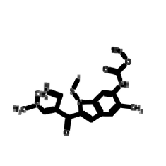 Cc1cc2cc(C(=O)/C(C=N)=C/N(C)C)n(SI)c2cc1NC(=O)OC(C)(C)C